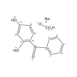 O=C([O-])O.O=C(c1ccccc1)c1ccc(O)cc1O.[Na+]